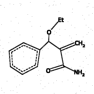 C=C(C(N)=O)C(OCC)c1ccccc1